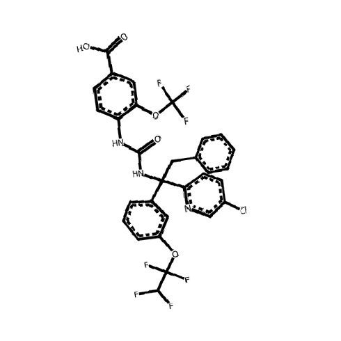 O=C(Nc1ccc(C(=O)O)cc1OC(F)(F)F)NC(Cc1ccccc1)(c1cccc(OC(F)(F)C(F)F)c1)c1ccc(Cl)cn1